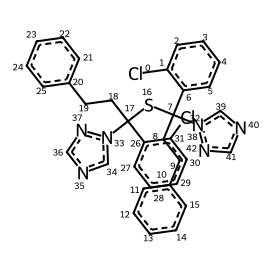 Clc1ccccc1C(CCc1ccccc1)(SC(CCc1ccccc1)(c1ccccc1Cl)n1cncn1)n1cncn1